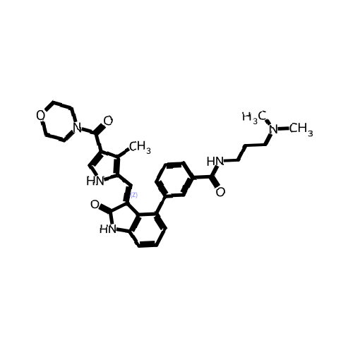 Cc1c(C(=O)N2CCOCC2)c[nH]c1/C=C1\C(=O)Nc2cccc(-c3cccc(C(=O)NCCCN(C)C)c3)c21